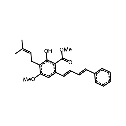 COC(=O)c1c(/C=C/C=C/c2ccccc2)cc(OC)c(CC=C(C)C)c1O